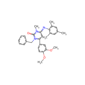 COc1ccc(-c2cc(=Nc3c(C)cc(C)cc3C)n(C)c(=O)n2Cc2ccccc2)cc1OC